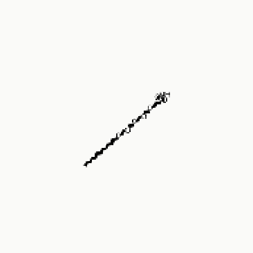 CCCCCCCCCCCCCOCCOCCOCCOCCOCCCS(=O)(=O)O